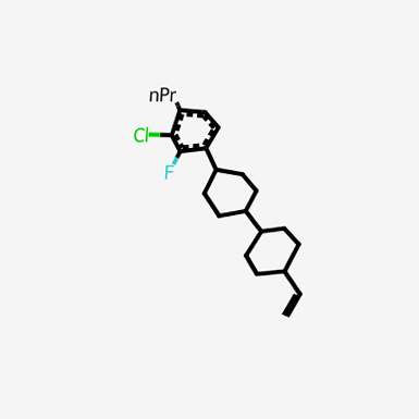 C=CC1CCC(C2CCC(c3ccc(CCC)c(Cl)c3F)CC2)CC1